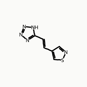 C(=C\c1nnn[nH]1)/c1cnsc1